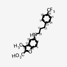 Cc1c(C(=O)O)oc2ccc(NCCCc3ccc(C(F)(F)F)cc3)cc12